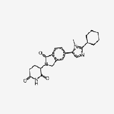 Cn1c(-c2ccc3c(c2)CN(C2CCC(=O)NC2=O)C3=O)cnc1C1CCCCC1